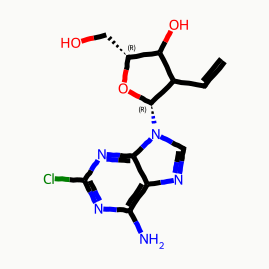 C=CC1C(O)[C@@H](CO)O[C@H]1n1cnc2c(N)nc(Cl)nc21